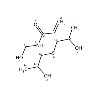 C=CC(=O)NCO.CC(O)CSCC(C)O